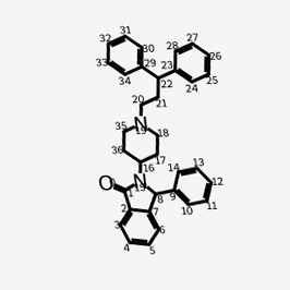 O=C1c2ccccc2C(c2ccccc2)N1C1CCN(CCC(c2ccccc2)c2ccccc2)CC1